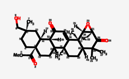 COC(=O)[C@]12CC[C@@](C)(CO)C[C@H]1[C@H]1C(=O)C=C3[C@@]4(C)[C@H]5O[C@@]5(C#N)C(=O)C(C)(C)[C@@H]4CC[C@@]3(C)[C@]1(C)CC2